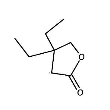 CCC1(CC)[CH]C(=O)OC1